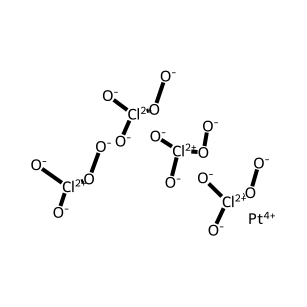 [O-]O[Cl+2]([O-])[O-].[O-]O[Cl+2]([O-])[O-].[O-]O[Cl+2]([O-])[O-].[O-]O[Cl+2]([O-])[O-].[Pt+4]